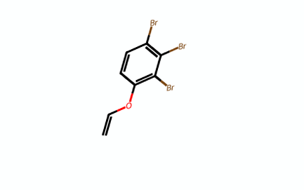 C=COc1ccc(Br)c(Br)c1Br